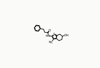 N#Cc1c(NC(=O)CCc2ccccc2)sc2c1CCC(O)C2